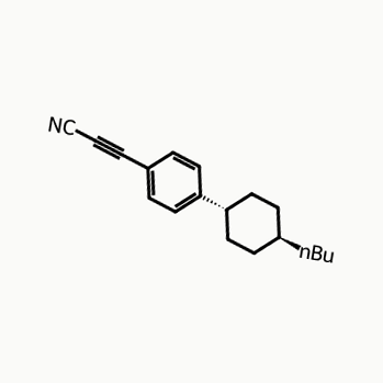 CCCC[C@H]1CC[C@H](c2ccc(C#CC#N)cc2)CC1